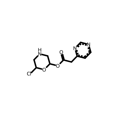 O=C(Cc1ccncn1)OC1CNCC(Cl)O1